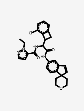 CCn1nccc1C(=O)NC(C(=O)Nc1ccc2c(c1)C=CC21CCOCC1)C1Cc2cccc(Cl)c21